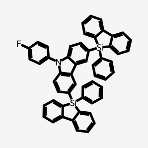 Fc1ccc(-n2c3ccc([Si]4(c5ccccc5)c5ccccc5-c5ccccc54)cc3c3cc([Si]4(c5ccccc5)c5ccccc5-c5ccccc54)ccc32)cc1